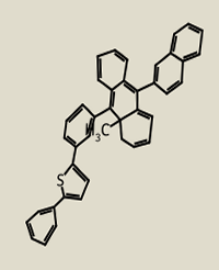 CC12CC=CC=C1C(c1ccc3ccccc3c1)=c1ccccc1=C2c1cccc(-c2ccc(-c3ccccc3)s2)c1